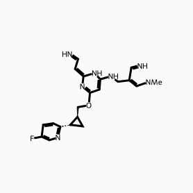 CN/C=C(\C=N)CNC1=CC(OC[C@H]2C[C@@H]2c2ccc(F)cn2)=N/C(=C/C=N)N1